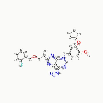 COc1ccc(Cn2cnc(N)c3nc(C(C)COCc4ccccc4F)nc2-3)cc1OC1CCCC1